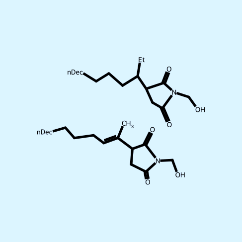 CCCCCCCCCCCCCC(CC)C1CC(=O)N(CO)C1=O.CCCCCCCCCCCCCC=C(C)C1CC(=O)N(CO)C1=O